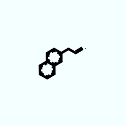 [CH]=CCc1ccc2ccccc2c1